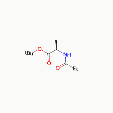 CCC(=O)N[C@H](C)C(=O)OC(C)(C)C